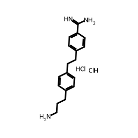 Cl.Cl.N=C(N)c1ccc(CCc2ccc(CCCN)cc2)cc1